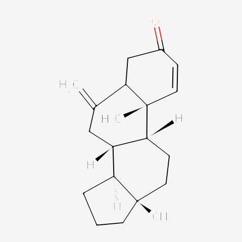 C=C1C[C@@H]2[C@@H](CC[C@]3(C)CCC[C@@H]23)[C@@]2(C)C=CC(=O)CC12